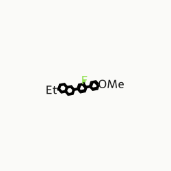 CCC1CCC2CC(c3ccc(-c4ccc(OC)cc4)c(F)c3)CCC2C1